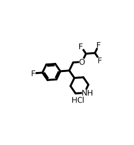 Cl.Fc1ccc(C(COC(F)C(F)F)C2CCNCC2)cc1